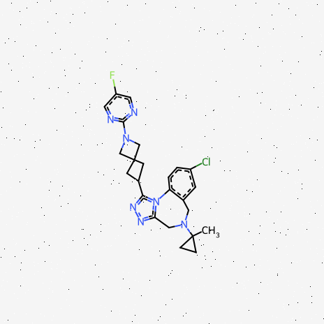 CC1(N2Cc3cc(Cl)ccc3-n3c(nnc3C3CC4(C3)CN(c3ncc(F)cn3)C4)C2)CC1